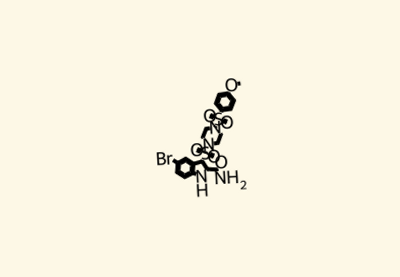 COc1ccc(S(=O)(=O)N2CCN(S(=O)(=O)C3c4cc(Br)ccc4NC3C(N)=O)CC2)cc1